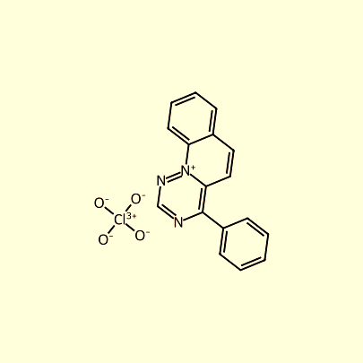 [O-][Cl+3]([O-])([O-])[O-].c1ccc(-c2ncn[n+]3c2ccc2ccccc23)cc1